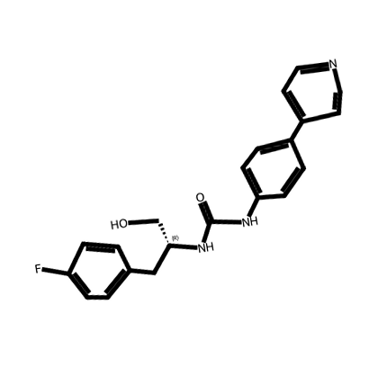 O=C(Nc1ccc(-c2ccncc2)cc1)N[C@@H](CO)Cc1ccc(F)cc1